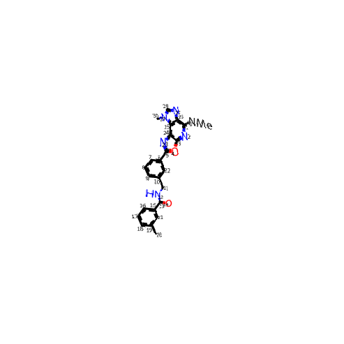 CNc1nc2oc(-c3cccc(CNC(=O)c4cccc(C)c4)c3)nc2c2c1ncn2C